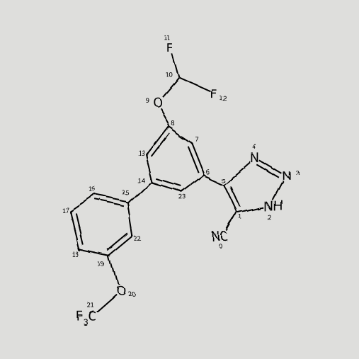 N#Cc1[nH]nnc1-c1cc(OC(F)F)cc(-c2cccc(OC(F)(F)F)c2)c1